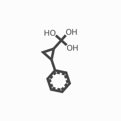 OC(O)(O)C1CC1c1ccccc1